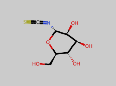 OC[C@H]1O[C@H](N=C=S)[C@@H](O)[C@@H](O)[C@@H]1O